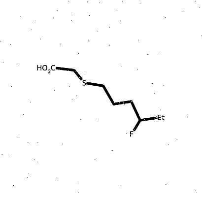 CCC(F)CCCSCC(=O)O